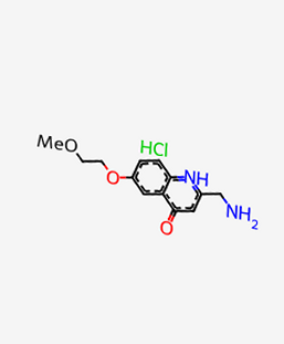 COCCOc1ccc2[nH]c(CN)cc(=O)c2c1.Cl